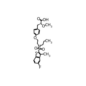 CCCN(CCOc1ccc(C[C@H](OC)C(=O)O)cc1)S(=O)(=O)c1sc2ccc(F)cc2c1C